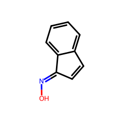 ON=C1C=Cc2ccccc21